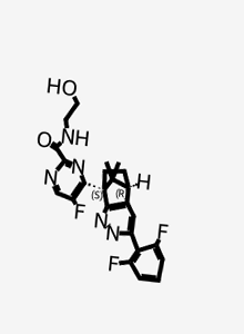 CC1(C)[C@H]2CC[C@]1(c1nc(C(=O)NCCO)ncc1F)c1nnc(-c3c(F)cccc3F)cc12